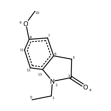 CCN1C(=O)Cc2cc(OC)ccc21